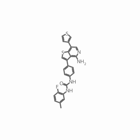 Cc1ccc(F)c(NC(=O)Nc2ccc(-c3csc4c(-c5ccsc5)cnc(N)c34)cc2)c1